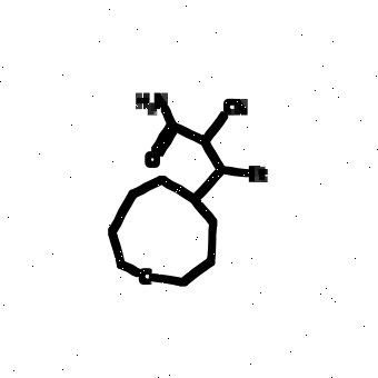 CCC(C1CCCCCCCC1)C(C#N)C(N)=O